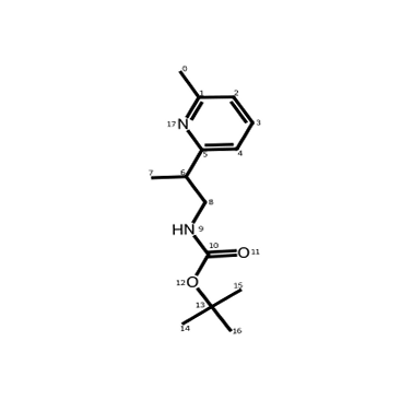 Cc1cccc(C(C)CNC(=O)OC(C)(C)C)n1